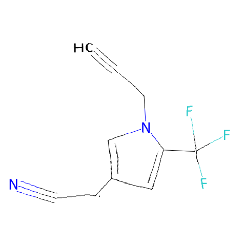 C#CCn1cc([CH]C#N)cc1C(F)(F)F